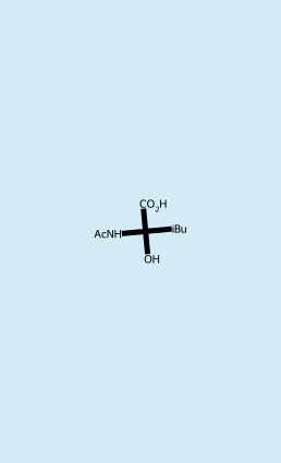 CCC(C)C(O)(NC(C)=O)C(=O)O